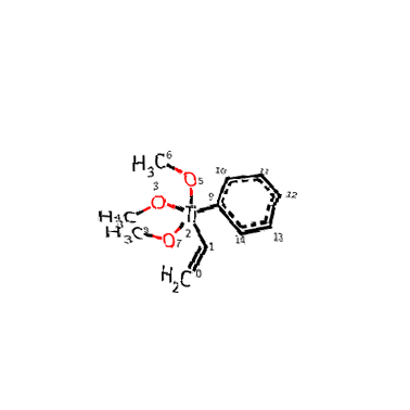 C=[CH][Ti]([O]C)([O]C)([O]C)[c]1ccccc1